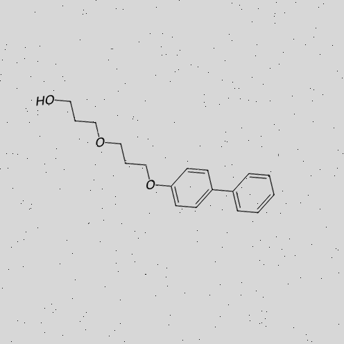 OCCCOCCCOc1ccc(-c2ccccc2)cc1